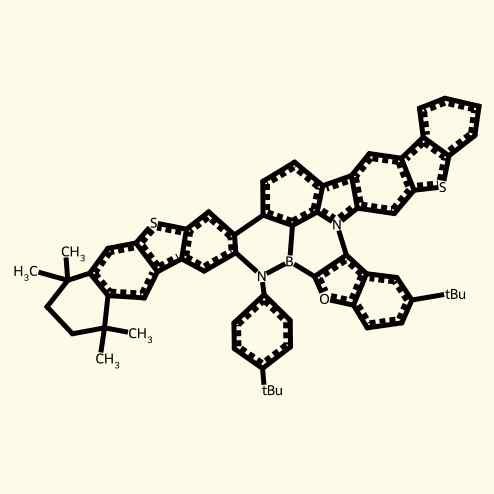 CC(C)(C)c1ccc(N2B3c4oc5ccc(C(C)(C)C)cc5c4-n4c5cc6sc7ccccc7c6cc5c5ccc(c3c54)-c3cc4sc5cc6c(cc5c4cc32)C(C)(C)CCC6(C)C)cc1